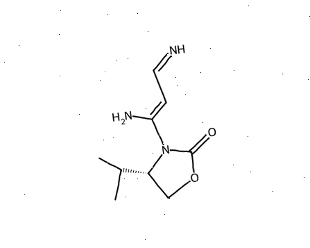 CC(C)[C@H]1COC(=O)N1/C(N)=C/C=N